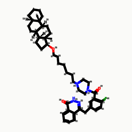 C[C@]12CCCC[C@@H]1CC[C@@H]1[C@@H]2CC[C@]2(C)[C@@H](OCCCCCCCN3CCN(C(=O)c4cc(Cc5n[nH]c(=O)c6ccccc56)ccc4F)CC3)CC[C@@H]12